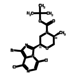 C[C@H]1CO[C@@H](c2nc(Br)c3c(Cl)ncc(Cl)n23)CN1C(=O)OC(C)(C)C